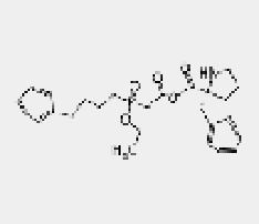 CCOP(=O)(CCCCc1ccccc1)CC(=O)OC(=O)[C@]1(Cc2ccccc2)CCCN1